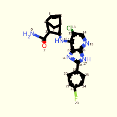 NC(=O)C1C2C=CC(C2)C1Nc1c(Cl)cnc2[nH]c(-c3ccc(F)cc3)nc12